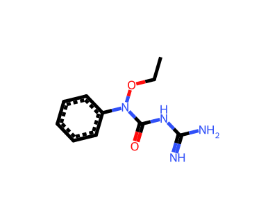 CCON(C(=O)NC(=N)N)c1ccccc1